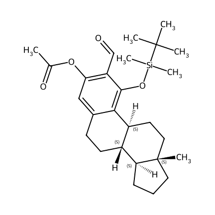 CC(=O)Oc1cc2c(c(O[Si](C)(C)C(C)(C)C)c1C=O)[C@H]1CC[C@]3(C)CCC[C@H]3[C@@H]1CC2